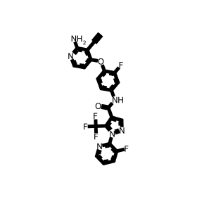 C#Cc1c(Oc2ccc(NC(=O)c3cnn(-c4ncccc4F)c3C(F)(F)F)cc2F)ccnc1N